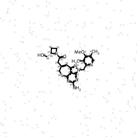 COc1c(C)cnc(Cn2nc3c4c(nc(N)nc42)SCC(CC(=O)N2CC[C@H]2CO)=C3)c1C